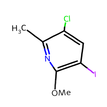 COc1nc(C)c(Cl)cc1I